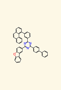 c1ccc(-c2ccc(-c3nc(-c4cccc(-c5cccc6ccc7ccccc7c56)c4)nc(-c4ccc5oc6ccccc6c5c4)n3)cc2)cc1